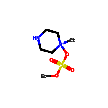 CCOS(=O)(=O)O[N+]1(CC)CCNCC1